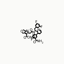 COC(=O)c1c2c(nn1CC(=O)NC(Cc1cc(F)cc(F)c1)c1ncccc1-c1ccc(F)c(C(N)=O)c1)COC2